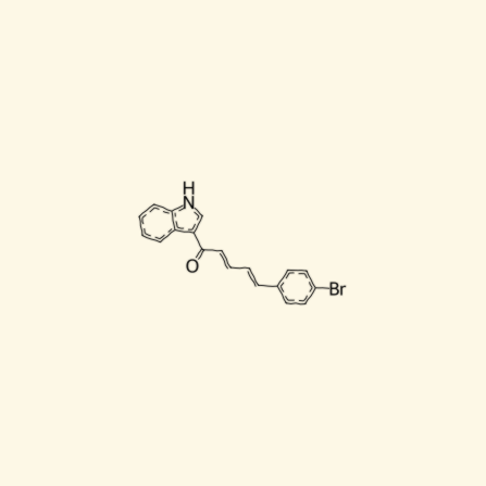 O=C(/C=C/C=C/c1ccc(Br)cc1)c1c[nH]c2ccccc12